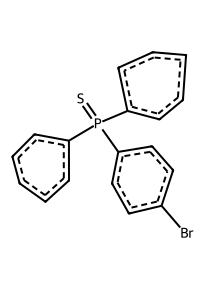 S=P(c1ccccc1)(c1ccccc1)c1ccc(Br)cc1